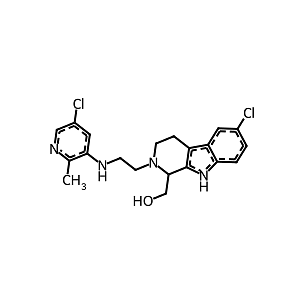 Cc1ncc(Cl)cc1NCCN1CCc2c([nH]c3ccc(Cl)cc23)C1CO